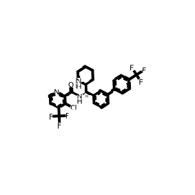 O=C(N[C@@H](c1cccc(-c2ccc(C(F)(F)F)cc2)c1)C1CCCCN1)c1nccc(C(F)(F)F)c1Cl